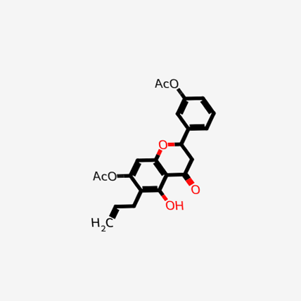 C=CCc1c(OC(C)=O)cc2c(c1O)C(=O)CC(c1cccc(OC(C)=O)c1)O2